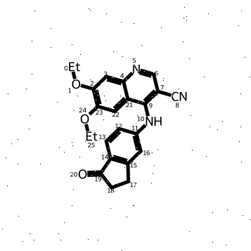 CCOc1cc2ncc(C#N)c(Nc3ccc4c(c3)CCC4=O)c2cc1OCC